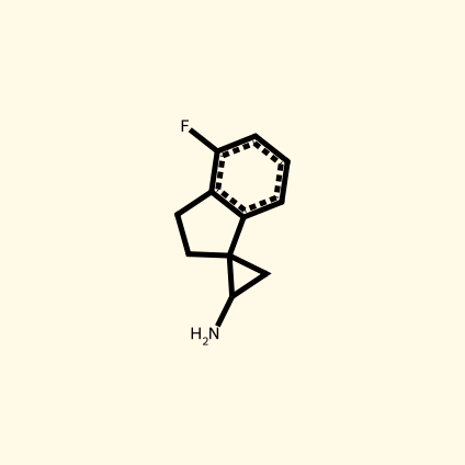 NC1CC12CCc1c(F)cccc12